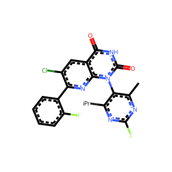 Cc1nc(F)nc(C(C)C)c1-n1c(=O)[nH]c(=O)c2cc(Cl)c(-c3ccccc3F)nc21